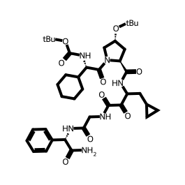 CC(C)(C)OC(=O)N[C@H](C(=O)N1C[C@H](OC(C)(C)C)C[C@H]1C(=O)NC(CC1CC1)C(=O)C(=O)NCC(=O)N[C@H](C(N)=O)c1ccccc1)C1CCCCC1